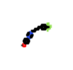 [O]c1ccc(N2CCN(CCCCCc3ccc(C(F)(F)F)cc3)CC2)cc1